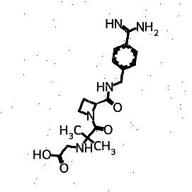 CC(C)(NCC(=O)O)C(=O)N1CC[C@H]1C(=O)NCc1ccc(C(=N)N)cc1